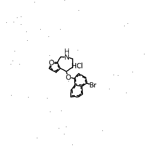 Brc1ccc(OC2CCNCc3occc32)c2ccccc12.Cl